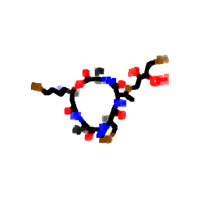 CC(SCC(O)C(O)CS)C1NC(=O)[C@@H](CS)NC(=O)[C@@H](C(C)C)NC(=O)C[C@@H](/C=C/CCS)OC(=O)[C@H](C(C)C)NC1=O